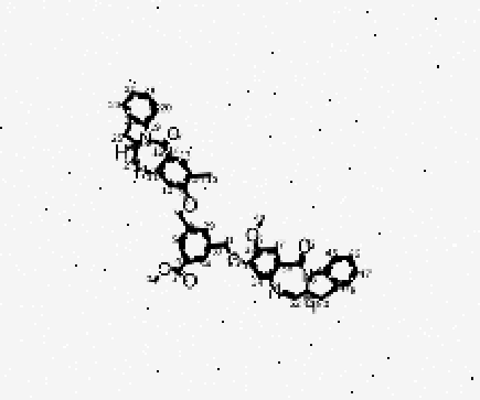 COC(=O)c1cc(COc2cc3c(cc2C)C(=O)N2c4ccccc4C[C@H]2C=N3)cc(COc2cc3c(cc2OC)C(=O)N2c4ccccc4C[C@H]2C=N3)c1